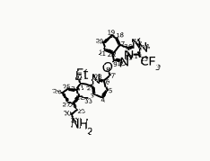 CCC(c1cccc(COc2nn3c(C(F)(F)F)nnc3c3ccccc23)n1)c1cccc(CCN)c1C